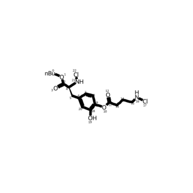 CCCCOC(=O)[C@H](Cc1ccc(OC(=O)CCCNCl)c(O)c1)NCl